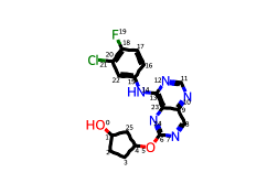 OC1CCC(Oc2ncc3ncnc(Nc4ccc(F)c(Cl)c4)c3n2)C1